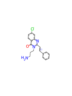 NCCCn1c(/C=C/c2ccccc2)nc2cc(Cl)ccc2c1=O